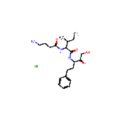 CCC(C)C(NC(=O)CCCN)C(=O)NC(CCc1ccccc1)C(=O)CO.Cl